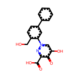 O=C(O)c1nn(-c2cc(-c3ccccc3)ccc2CO)cc(O)c1=O